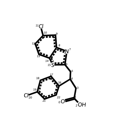 O=C(O)CC(Cc1nc2cc(Cl)ccc2s1)c1ccc(Cl)cc1